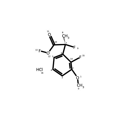 COc1cccc([C@](C)(F)C(=O)OF)c1F.Cl